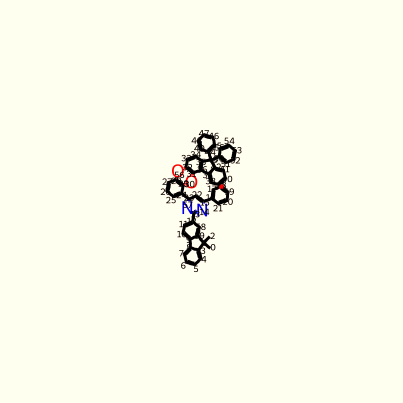 CC1(C)c2ccccc2-c2ccc(-c3nc(-c4ccccc4)cc(-c4cccc5c4Oc4c(ccc6c4-c4ccccc4C6(c4ccccc4)c4ccccc4)O5)n3)cc21